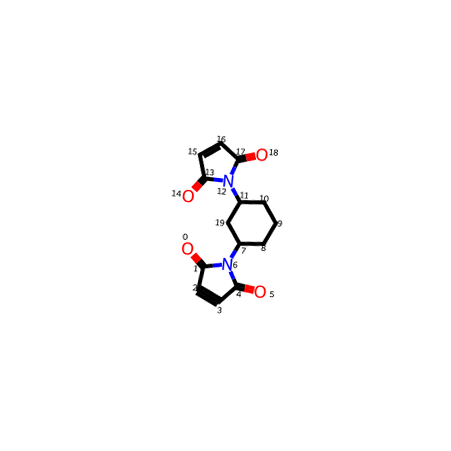 O=C1C#CC(=O)N1C1CCCC(N2C(=O)C=CC2=O)C1